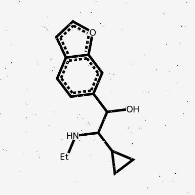 CCNC(C1CC1)C(O)c1ccc2ccoc2c1